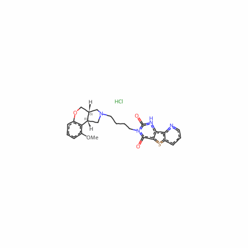 COc1cccc2c1[C@H]1CN(CCCCn3c(=O)[nH]c4c(sc5cccnc54)c3=O)C[C@H]1CO2.Cl